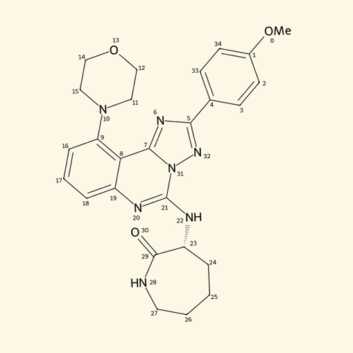 COc1ccc(-c2nc3c4c(N5CCOCC5)cccc4nc(N[C@@H]4CCCCNC4=O)n3n2)cc1